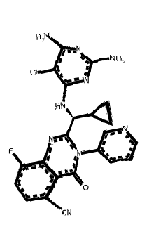 N#Cc1ccc(F)c2nc([C@@H](Nc3nc(N)nc(N)c3Cl)C3CC3)n(-c3cccnc3)c(=O)c12